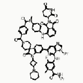 Cc1cc(F)c(Nc2nc(-c3ccc4c(c3)N(C3CC(N5CCCCC5)C3)C(=O)C43CCN(C(=O)c4ccc(C(=O)N(C)C5CCC(Nc6cccc7c6C(=O)N(C6CCC(=O)NC6=O)C7=O)CC5)cc4)CC3)cc3ncn(C(C)C)c23)cc1C(=O)NC(C)C